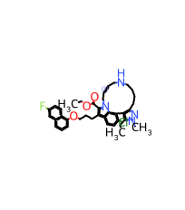 CCOC(=O)c1c(CCCOc2cccc3cc(F)ccc23)c2ccc(Cl)c3c2n1C/C=C\CNCCCCc1nn(C)c(CC)c1-3